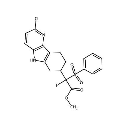 COC(=O)C(F)(C1CCc2c([nH]c3ccc(Cl)nc23)C1)S(=O)(=O)c1ccccc1